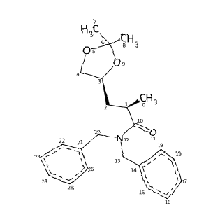 C[C@H](C[C@H]1COC(C)(C)O1)C(=O)N(Cc1ccccc1)Cc1ccccc1